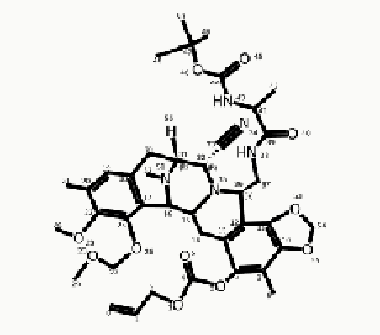 C=CCOC(=O)Oc1c(C)c2c(c3c1CC1C4c5c(cc(C)c(OC)c5OCOC)C[C@H]([C@H](C#N)N1[C@H]3CNC(=O)C(C)NC(=O)OC(C)(C)C)N4C)OCO2